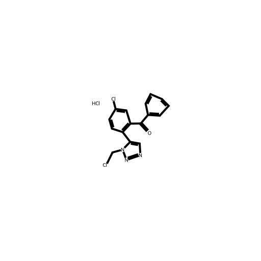 Cl.O=C(c1ccccc1)c1cc(Cl)ccc1-c1cnnn1CCl